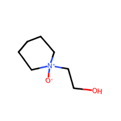 [O-][N+]1(CCO)CCCCC1